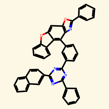 c1ccc(-c2nc(-c3cccc(-c4c5nc(-c6ccccc6)oc5cc5oc6ccccc6c45)c3)nc(-c3ccc4ccccc4c3)n2)cc1